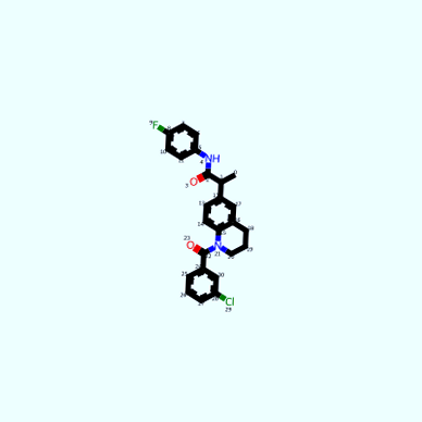 CC(C(=O)Nc1ccc(F)cc1)c1ccc2c(c1)CCCN2C(=O)c1cccc(Cl)c1